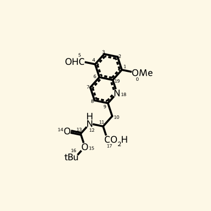 COc1ccc(C=O)c2ccc(CC(NC(=O)OC(C)(C)C)C(=O)O)nc12